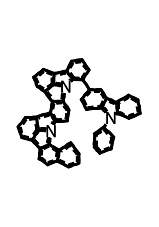 c1ccc(-n2c3ccccc3c3cc(-c4cccc5c6cccc7c8c9c%10cccc%11c%12ccc%13ccccc%13c%12n(c9ccc8n(c45)c67)c%11%10)ccc32)cc1